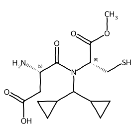 COC(=O)[C@H](CS)N(C(=O)[C@@H](N)CC(=O)O)C(C1CC1)C1CC1